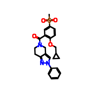 CS(=O)(=O)c1ccc(OCC2CC2)c(C(=O)N2CCc3nn(-c4ccccc4)cc3C2)c1